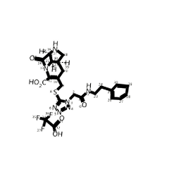 O=C(Cn1nnnc1SCC1=C(C(=O)O)N2C(=O)[C@H]3NC[C@@H](C1)[C@H]32)NCCc1ccccc1.O=C(O)C(F)(F)F